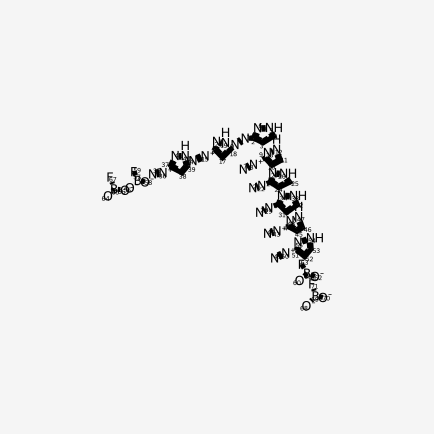 N#[N+]c1cc[nH]n1.N#[N+]c1cc[nH]n1.N#[N+]c1cc[nH]n1.N#[N+]c1cc[nH]n1.N#[N+]c1cc[nH]n1.N#[N+]c1cc[nH]n1.N#[N+]c1cc[nH]n1.N#[N+]c1cc[nH]n1.[O-]B([O-])F.[O-]B([O-])F.[O-]B([O-])F.[O-]B([O-])F